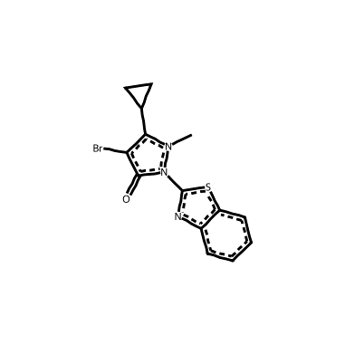 Cn1c(C2CC2)c(Br)c(=O)n1-c1nc2ccccc2s1